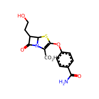 NC(=O)c1ccc(OC2=C(C(=O)O)N3C(=O)C(CCO)C3S2)cc1